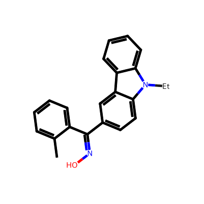 CCn1c2ccccc2c2cc(C(=NO)c3ccccc3C)ccc21